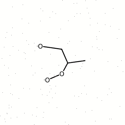 CC(C[O])O[O]